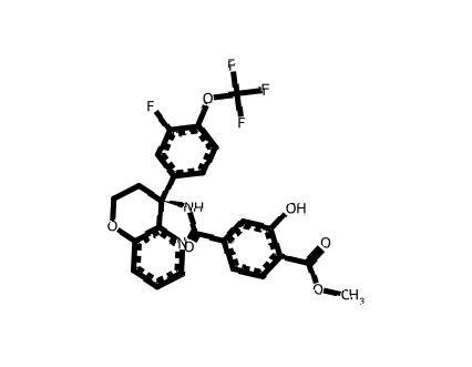 COC(=O)c1ccc(C(=O)N[C@]2(c3ccc(OC(F)(F)F)c(F)c3)CCOc3cccnc32)cc1O